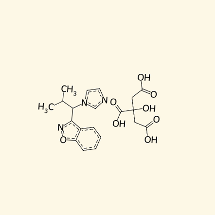 CC(C)C(c1noc2ccccc12)n1ccnc1.O=C(O)CC(O)(CC(=O)O)C(=O)O